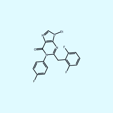 CCn1cnc2c(=O)n(-c3ccc(F)cc3)c(Cc3c(F)cccc3F)nc21